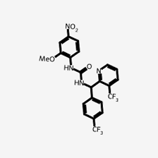 COc1cc([N+](=O)[O-])ccc1NC(=O)NC(c1ccc(C(F)(F)F)cc1)c1ncccc1C(F)(F)F